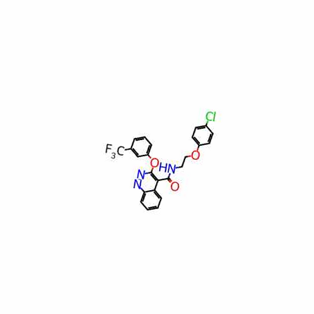 O=C(NCCOc1ccc(Cl)cc1)c1c(Oc2cccc(C(F)(F)F)c2)nnc2ccccc12